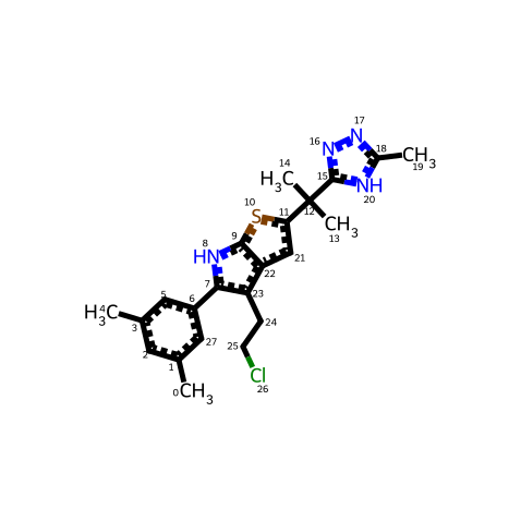 Cc1cc(C)cc(-c2[nH]c3sc(C(C)(C)c4nnc(C)[nH]4)cc3c2CCCl)c1